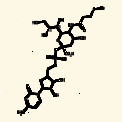 CCSSCC(=O)NC1C(O)CC(OP(=O)(O)OCC2OC(n3ccc(N)nc3=O)C(O)C2O)(C(=O)O)OC1[C@H](O)[C@H](O)CO